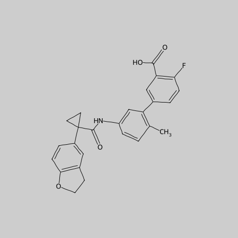 Cc1ccc(NC(=O)C2(c3ccc4c(c3)CCO4)CC2)cc1-c1ccc(F)c(C(=O)O)c1